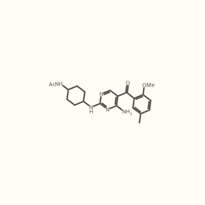 COc1ccc(C)cc1C(=O)c1cnc(NC2CCC(NC(C)=O)CC2)nc1N